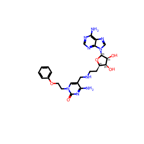 Nc1nc(=O)n(CCOc2ccccc2)cc1CNCC[C@H]1O[C@@H](n2cnc3c(N)ncnc32)[C@@H](O)[C@H]1O